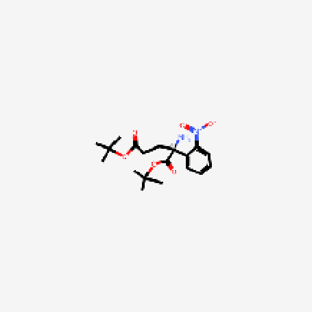 CC(C)(C)OC(=O)CC[C@@](N)(C(=O)OC(C)(C)C)c1ccccc1[N+](=O)[O-]